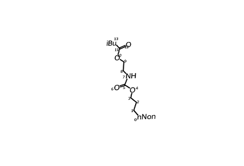 CCCCCCCCCCCCOC(=O)NCCOC(=O)C(C)CC